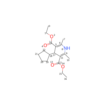 CCOC(=O)C1=C(C)NC(C)=C(C(=O)OCC)C1C1CCCC1